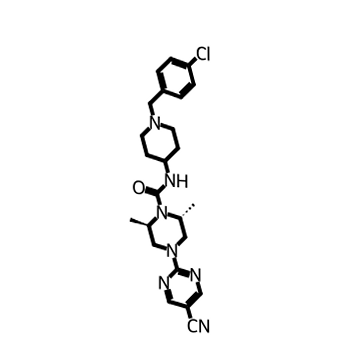 C[C@@H]1CN(c2ncc(C#N)cn2)C[C@@H](C)N1C(=O)NC1CCN(Cc2ccc(Cl)cc2)CC1